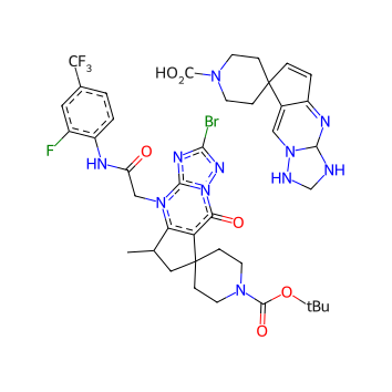 CC1CC2(CCN(C(=O)OC(C)(C)C)CC2)c2c1n(CC(=O)Nc1ccc(C(F)(F)F)cc1F)c1nc(Br)nn1c2=O.O=C(O)N1CCC2(C=CC3=NC4NCNN4C=C32)CC1